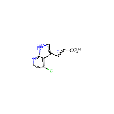 O=C(O)/C=C/c1c[nH]c2nccc(Cl)c12